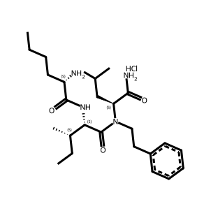 CCCC[C@H](N)C(=O)N[C@H](C(=O)N(CCc1ccccc1)[C@@H](CC(C)C)C(N)=O)[C@@H](C)CC.Cl